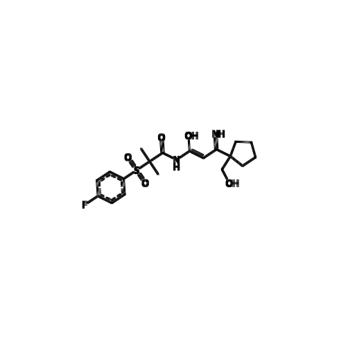 CC(C)(C(=O)N/C(O)=C/C(=N)C1(CO)CCCC1)S(=O)(=O)c1ccc(F)cc1